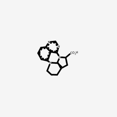 O=C(O)C1CCCN1c1ncnc2cccc(N3CCCCC3)c12